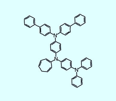 C1=CCC=CC(N(c2ccc(N(c3ccccc3)c3ccccc3)cc2)c2ccc(N(c3ccc(-c4ccccc4)cc3)c3ccc(-c4ccccc4)cc3)cc2)=C1